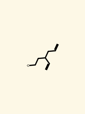 C=CCC(C=C)CC[O]